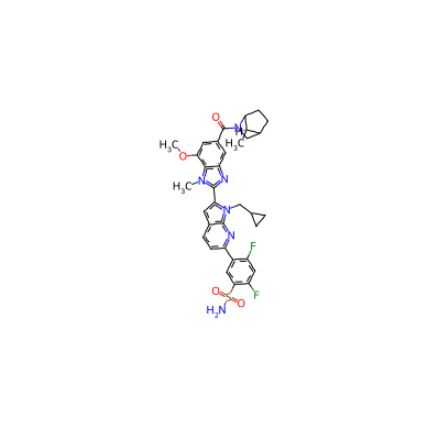 COc1cc(C(=O)N2CC3CCC2[C@@H]3C)cc2nc(-c3cc4ccc(-c5cc(S(N)(=O)=O)c(F)cc5F)nc4n3CC3CC3)n(C)c12